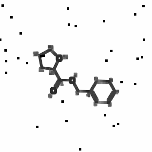 O=C(OCc1ccccc1)C1CCCO1